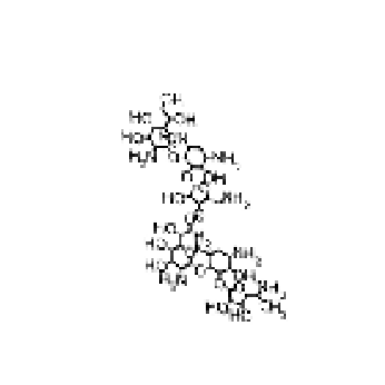 C[C@H](N)[C@H]1O[C@@H](OC2C(O)[C@H](N)CC(N)[C@H]2O[C@H]2OC([C@H](O)COOC3C(O)[C@H](OC4C(O)[C@H](N)CC(N)[C@H]4O[C@H]4OC([C@H](O)CO)[C@@H](O)C(O)C4N)O[C@@H]3CN)[C@@H](O)C(O)C2N)C(O)C1O